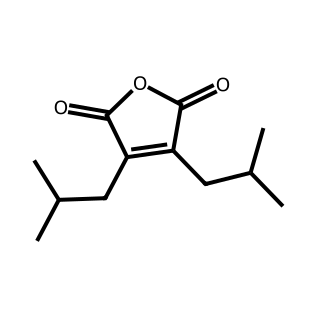 CC(C)CC1=C(CC(C)C)C(=O)OC1=O